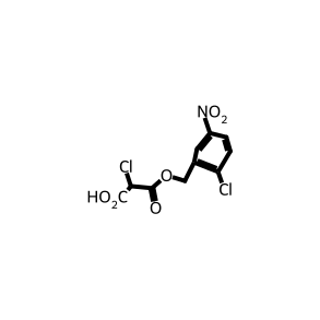 O=C(O)C(Cl)C(=O)OCc1cc([N+](=O)[O-])ccc1Cl